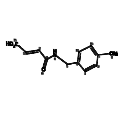 COc1ccc(CNC(=O)C=CC(=O)O)cc1